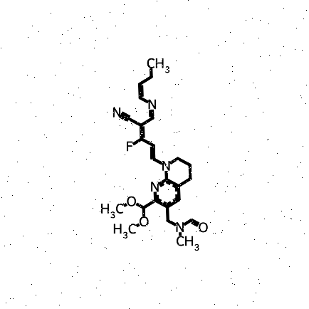 CC\C=C/N=C\C(C#N)=C(F)/C=C/N1CCCc2cc(CN(C)C=O)c(C(OC)OC)nc21